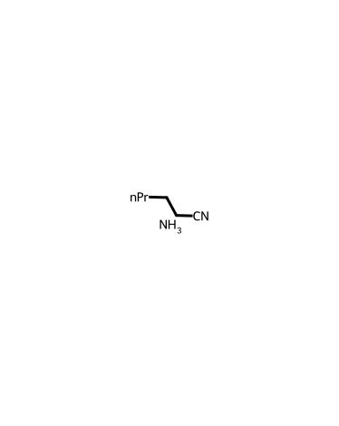 CCCCCC#N.N